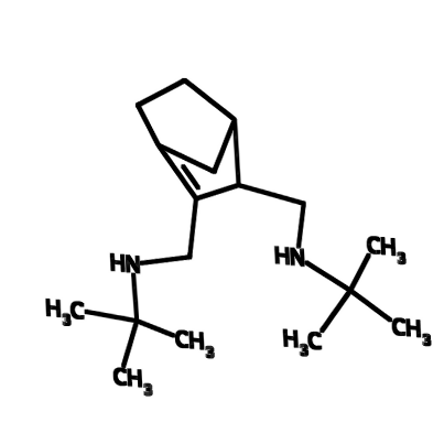 CC(C)(C)NCC1=C2CCC(C2)C1CNC(C)(C)C